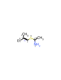 CC/C(C)=C/SC(C)N